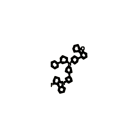 Fc1cccc2c1c1ccccc1n2-c1cccc(-c2ccc(N(c3ccc(-c4cccc5oc6ccccc6c45)cc3)c3cccc(-c4ccccc4)c3)cc2)c1